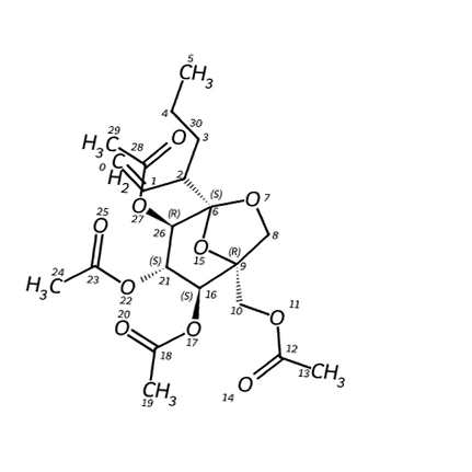 C=CC(CCC)[C@]12OC[C@](COC(C)=O)(O1)[C@@H](OC(C)=O)[C@H](OC(C)=O)[C@H]2OC(C)=O